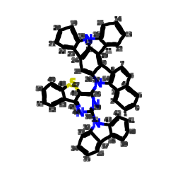 c1ccc2c(c1)ccc1c3c4c5ccccc5n5c6ccccc6c(cc3n(-c3nc(-n6c7ccccc7c7ccccc76)nc6c3sc3ccccc36)c21)c45